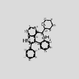 NC(c1ncnc2[nH]c(-c3ccccc3)c(-c3ccccc3)c12)C1CCCCO1